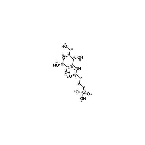 O=C(CCCS(=O)(=O)O)NC1C(O)C(O)OC(CO)C1O